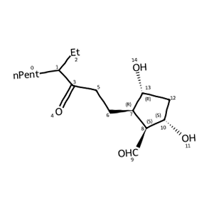 CCCCCC(CC)C(=O)CC[C@@H]1[C@H](C=O)[C@@H](O)C[C@H]1O